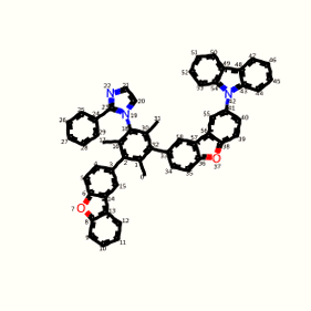 Cc1c(-c2ccc3oc4ccccc4c3c2)c(C)c(-n2ccnc2-c2ccccc2)c(C)c1-c1ccc2oc3ccc(-n4c5ccccc5c5ccccc54)cc3c2c1